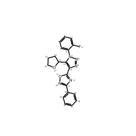 Fc1ccccc1-n1nnc(-c2nc(-c3ccccc3)no2)c1C1CCCO1